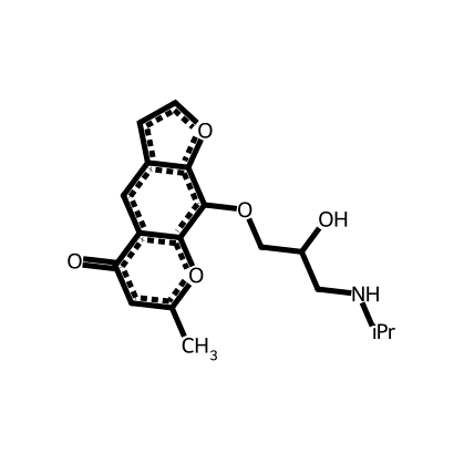 Cc1cc(=O)c2cc3ccoc3c(OCC(O)CNC(C)C)c2o1